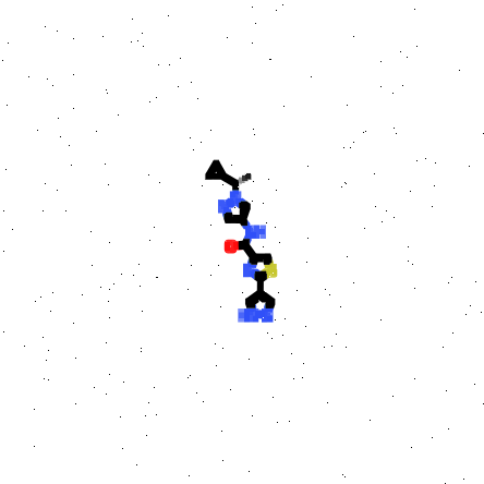 C[C@@H](C1CC1)n1cc(NC(=O)c2csc(-c3cn[nH]c3)n2)cn1